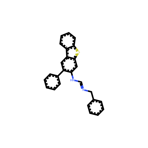 C(=N\Cc1ccccc1)/Nc1cc2sc3ccccc3c2cc1-c1ccccc1